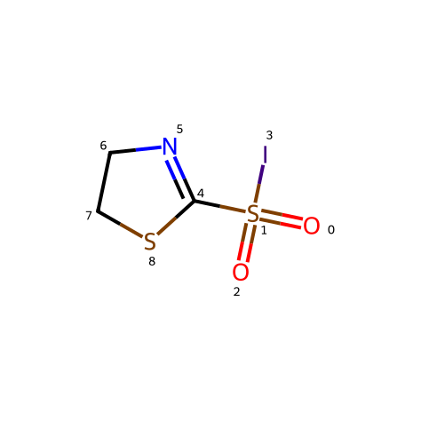 O=S(=O)(I)C1=NCCS1